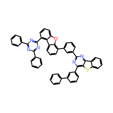 c1ccc(-c2cccc(-c3nc(-c4cccc(-c5cccc6c5oc5cccc(-c7nc(-c8ccccc8)nc(-c8ccccc8)n7)c56)c4)nc4c3sc3ccccc34)c2)cc1